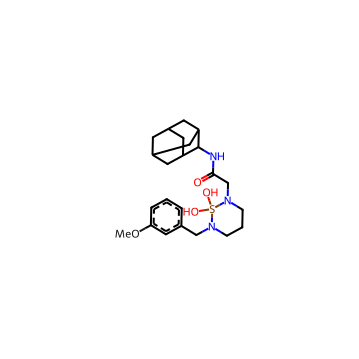 COc1cccc(CN2CCCN(CC(=O)NC3C4CC5CC(C4)CC3C5)S2(O)O)c1